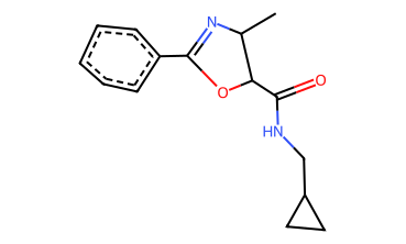 CC1N=C(c2ccccc2)OC1C(=O)NCC1CC1